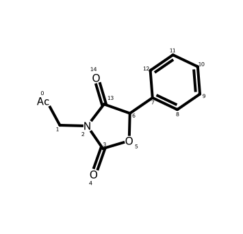 CC(=O)CN1C(=O)OC(c2ccccc2)C1=O